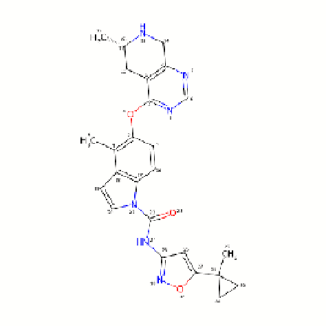 Cc1c(Oc2ncnc3c2C[C@H](C)NC3)ccc2c1ccn2C(=O)Nc1cc(C2(C)CC2)on1